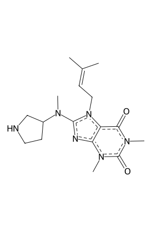 CC(C)=CCn1c(N(C)C2CCNC2)nc2c1c(=O)n(C)c(=O)n2C